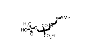 CCOC(=O)C(COCSSC)(COP(C)(=O)O)C(=O)OCC